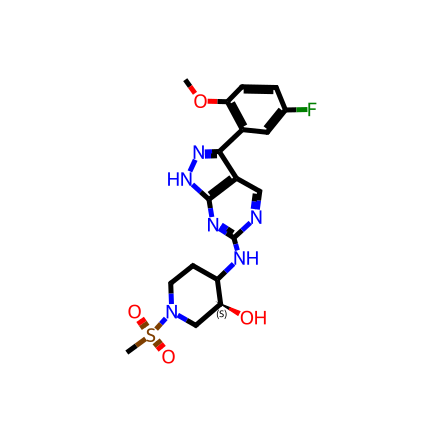 COc1ccc(F)cc1-c1n[nH]c2nc(NC3CCN(S(C)(=O)=O)C[C@@H]3O)ncc12